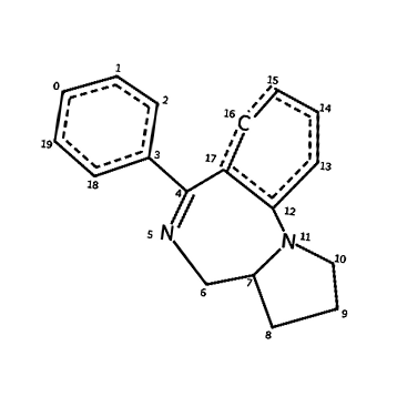 c1ccc(C2=NCC3CCCN3c3ccccc32)cc1